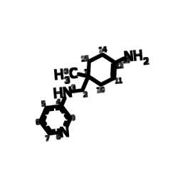 CC1(CNc2cccnc2)CC=C(N)CC1